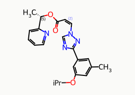 Cc1cc(OC(C)C)cc(-c2ncn(/C=C\C(=O)O[C@@H](C)c3ccccn3)n2)c1